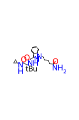 CC(C)(C)C(NC(=O)c1nn(CCCCC(N)=O)c2ccccc12)C(=O)NC1CC1